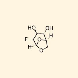 O[C@H]1[C@H](O)[C@H]2CO[C@H](O2)[C@@H]1F